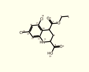 CCOC(=O)C1CC(C(=O)O)Nc2cc(Cl)cc(Cl)c21